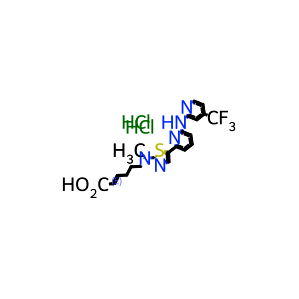 CN(CCC/C=C/C(=O)O)c1ncc(-c2cccc(Nc3cc(C(F)(F)F)ccn3)n2)s1.Cl.Cl